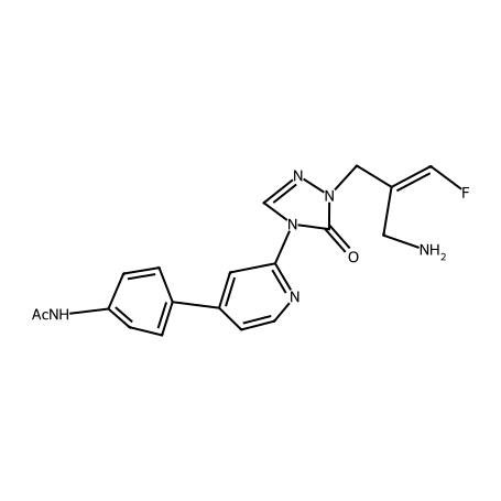 CC(=O)Nc1ccc(-c2ccnc(-n3cnn(C/C(=C/F)CN)c3=O)c2)cc1